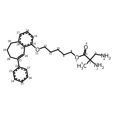 CC(N)(CN)C(=O)OCCCCCOc1cccc2c1C=C(c1ccccc1)CCC2